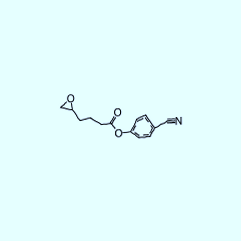 N#Cc1ccc(OC(=O)CCCC2CO2)cc1